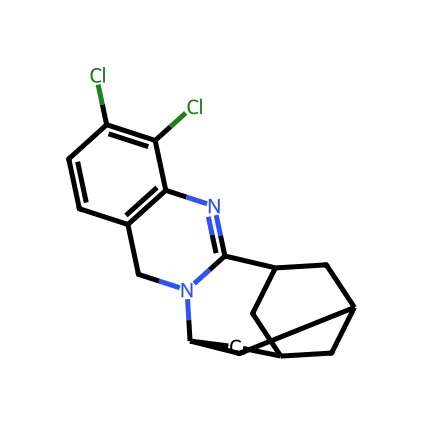 Clc1ccc2c(c1Cl)N=C1C3CC4CC(C3)CC(C4)N1C2